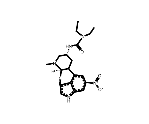 CCN(CC)C(=O)N[C@@H]1CC2c3cc([N+](=O)[O-])cc4[nH]cc(c34)C[C@H]2N(C)C1